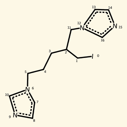 ICC(CCCn1ccnc1)Cn1ccnc1